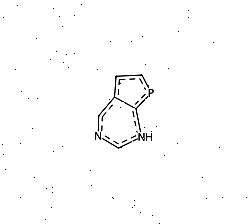 c1ncc2ccpc-2[nH]1